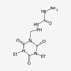 CCn1c(=O)n(CC)c(=O)n(CPNC(=O)BN)c1=O